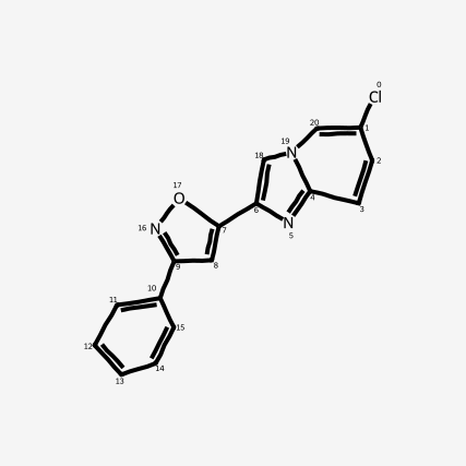 Clc1ccc2nc(-c3cc(-c4ccccc4)no3)cn2c1